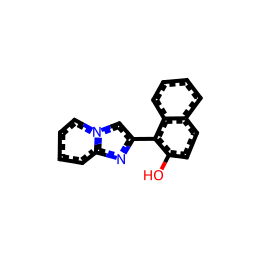 Oc1ccc2ccccc2c1-c1cn2ccccc2n1